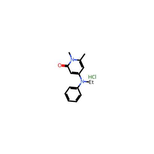 CCN(c1ccccc1)c1cc(C)n(C)c(=O)c1.Cl